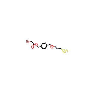 O=C(CBr)OCc1ccc(COCCCS)cc1